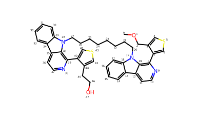 COCc1cscc1-c1nccc2c3ccccc3n(CCCCCCCCn3c4ccccc4c4ccnc(-c5cscc5CCO)c43)c12